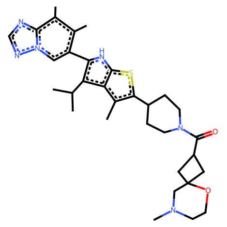 Cc1c(-c2[nH]c3sc(C4CCN(C(=O)C5CC6(C5)CN(C)CCO6)CC4)c(C)c3c2C(C)C)cn2ncnc2c1C